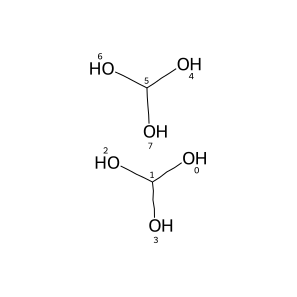 OC(O)O.OC(O)O